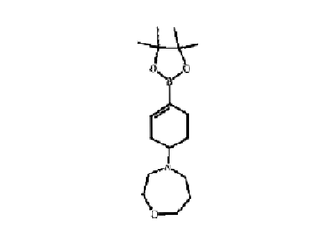 CC1(C)OB(C2=CCC(N3CCCOCC3)CC2)OC1(C)C